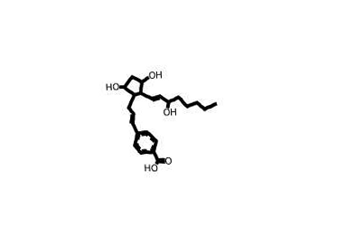 CCCCCC(O)/C=C/C1C(O)CC(O)C1CC=Cc1ccc(C(=O)O)cc1